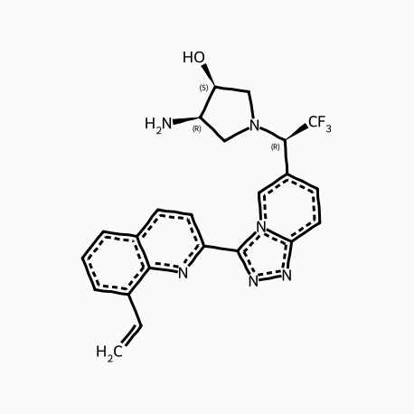 C=Cc1cccc2ccc(-c3nnc4ccc([C@@H](N5C[C@@H](N)[C@@H](O)C5)C(F)(F)F)cn34)nc12